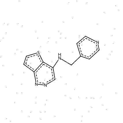 c1cc(CNc2cnnc3ccsc23)ccn1